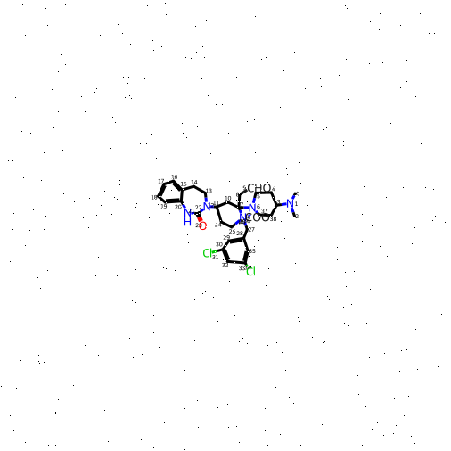 CN(C)C1CCN(C2(CC=O)CC(N3CCc4ccccc4NC3=O)CC[N@+]2(Cc2cc(Cl)cc(Cl)c2)C(=O)[O-])CC1